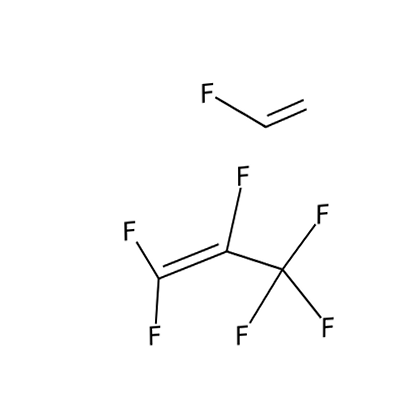 C=CF.FC(F)=C(F)C(F)(F)F